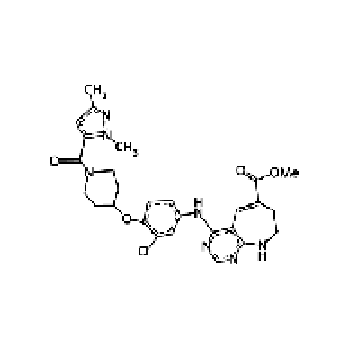 COC(=O)C1=Cc2c(ncnc2Nc2ccc(OC3CCN(C(=O)c4cc(C)nn4C)CC3)c(Cl)c2)NCC1